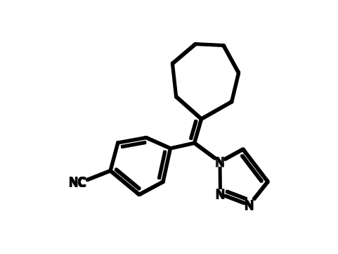 N#Cc1ccc(C(=C2CCCCCC2)n2ccnn2)cc1